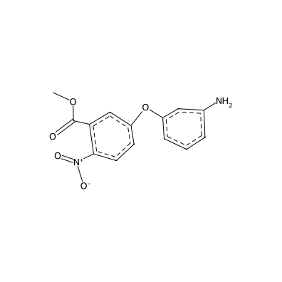 COC(=O)c1cc(Oc2cccc(N)c2)ccc1[N+](=O)[O-]